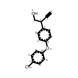 C#CC(CO)c1ccc(Oc2ccc(Cl)cc2)cc1